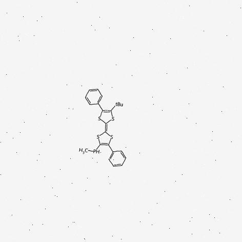 CPC1=C(c2ccccc2)S/C(=C2/SC(c3ccccc3)=C(C(C)(C)C)S2)S1